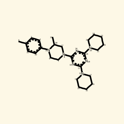 Cc1ccc(N2CCN(c3nc(N4CCCCC4)nc(N4CCCCC4)n3)CC2C)cc1